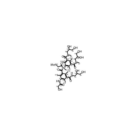 CNCC(=O)[N+](C)(C(=O)c1c(I)c(NC(=O)CO)c(I)c(C(=O)NCC(O)CO)c1I)c1c(I)c(C(=O)N(C)CC(O)CO)c(I)c(C(=O)N(C)CC(O)CO)c1I